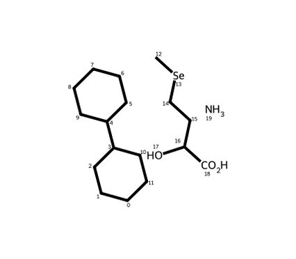 C1CCC(C2CCCCC2)CC1.C[Se]CCC(O)C(=O)O.N